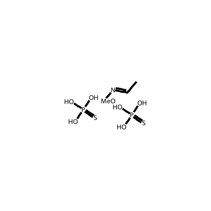 CC=NOC.OP(O)(O)=S.OP(O)(O)=S